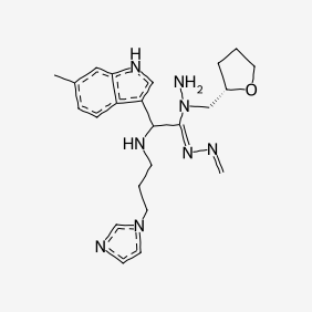 C=N/N=C(/C(NCCCn1ccnc1)c1c[nH]c2cc(C)ccc12)N(N)C[C@@H]1CCCO1